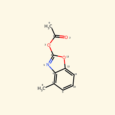 CC(=O)Oc1nc2c(C)cccc2o1